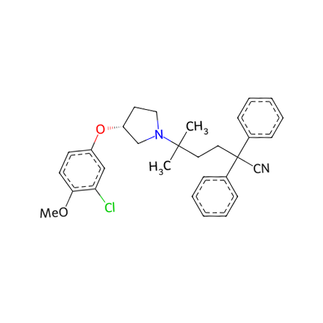 COc1ccc(O[C@@H]2CCN(C(C)(C)CCC(C#N)(c3ccccc3)c3ccccc3)C2)cc1Cl